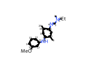 CCN(C)C=Nc1cc(C)c(Nc2cccc(OC)c2)cc1C